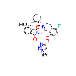 CC(C)n1cc(COc2ccc(F)c3c2C(CN2Cc4ccccc4C2=O)N(C(=O)[C@@H]2CCCC[C@@H]2C(=O)O)CC3)nn1